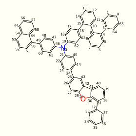 c1ccc(-c2ccccc2-c2ccccc2-c2ccc(N(c3ccc(-c4ccc5oc6c(-c7ccccc7)cccc6c5c4)cc3)c3ccc(-c4cccc5ccccc45)cc3)cc2)cc1